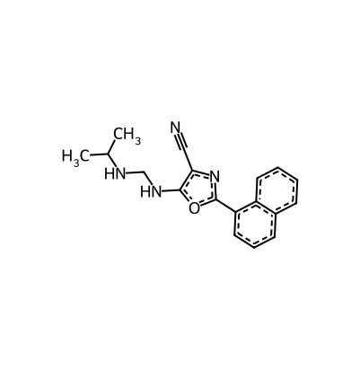 CC(C)NCNc1oc(-c2cccc3ccccc23)nc1C#N